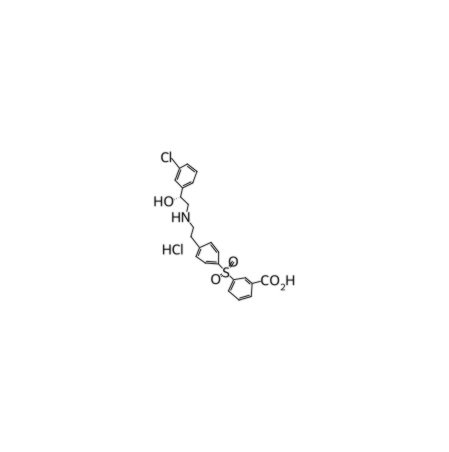 Cl.O=C(O)c1cccc(S(=O)(=O)c2ccc(CCNC[C@H](O)c3cccc(Cl)c3)cc2)c1